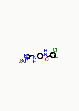 CC(C)(C)n1cc(CN[C@H]2CC[C@H](NC(=O)c3cc(F)cc(Cl)c3)CC2)cn1